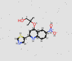 CC(C)(CO)Oc1cc(-c2cncs2)nc2ccc([N+](=O)[O-])cc12